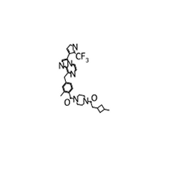 Cc1cc(Cc2nccn3c(C4=CCN=C4C(F)(F)F)cnc23)ccc1C(=O)N1CCN(C(=O)CC2CC(C)C2)CC1